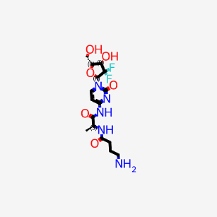 C[C@H](NC(=O)CCCN)C(=O)Nc1ccn([C@@H]2O[C@H](CO)[C@@H](O)C2(F)F)c(=O)n1